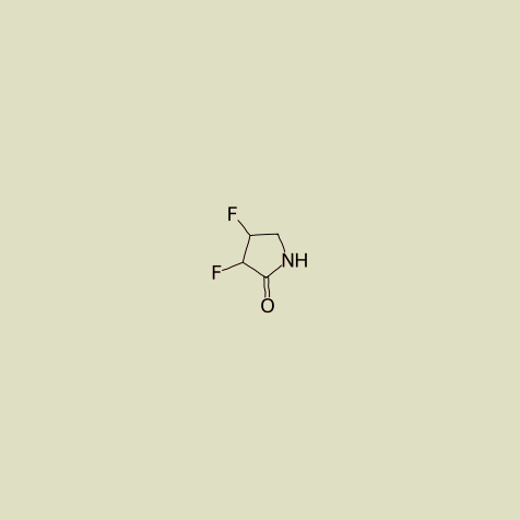 O=C1NCC(F)C1F